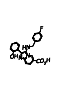 O=C(O)c1ccc2nc(-c3ccccc3O)c(NCc3ccc(F)cc3)n2c1